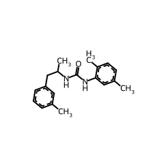 Cc1cccc(CC(C)NC(=O)Nc2cc(C)ccc2C)c1